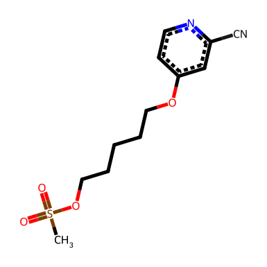 CS(=O)(=O)OCCCCCOc1ccnc(C#N)c1